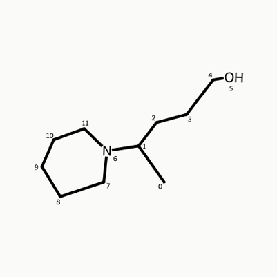 CC(CCCO)N1CCCCC1